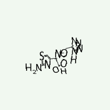 Nc1nc(C(=NOCc2nnn[nH]2)C(=O)O)cs1